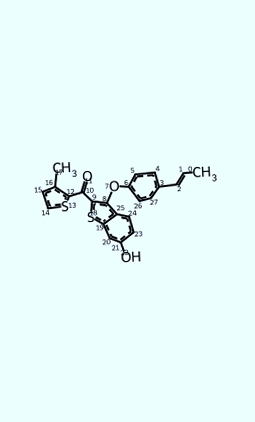 C/C=C/c1ccc(Oc2c(C(=O)c3sccc3C)sc3cc(O)ccc23)cc1